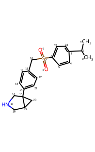 CC(C)c1ccc(S(=O)(=O)Cc2ccc(C34CNCC3C4)cc2)cc1